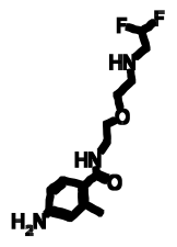 Cc1cc(N)ccc1C(=O)NCCOCCNCC(F)F